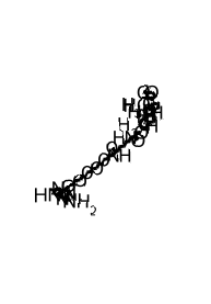 C[C@]12CC[C@H](OCC(=O)NCCCCCC(=O)NCCOCCOCCOCCOCCOc3nc(N)nc4[nH]cnc34)C[C@H]1CC[C@@H]1[C@H]2C[C@@H](O)[C@]2(C)[C@@H](C3=CC(=O)OC3)CC[C@]12O